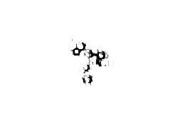 N#CCC(C1CCCC1)n1cc(-c2ncnc3[nH]ccc23)c(NCCC(=O)N2CCOCC2)n1